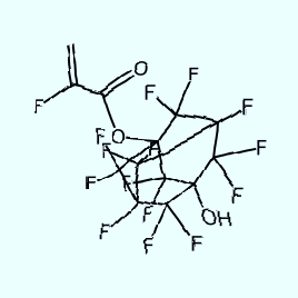 C=C(F)C(=O)OC12C(F)(F)C3(O)C(F)(F)C(F)(C(F)(F)C(F)(C3(F)F)C1(F)F)C2(F)F